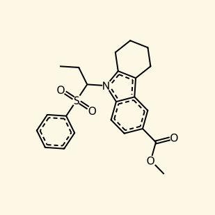 CCC(n1c2c(c3cc(C(=O)OC)ccc31)CCCC2)S(=O)(=O)c1ccccc1